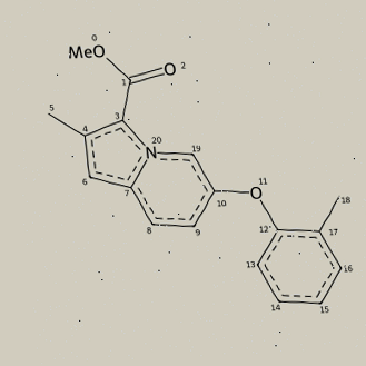 COC(=O)c1c(C)cc2ccc(Oc3ccccc3C)cn12